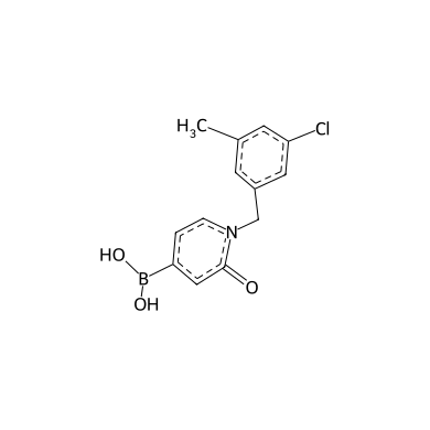 Cc1cc(Cl)cc(Cn2ccc(B(O)O)cc2=O)c1